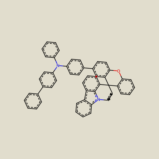 c1ccc(-c2ccc(N(c3ccccc3)c3ccc(-c4ccc5c(c4)C4(c6ccccc6O5)c5ccccc5-n5c6ccccc6c6cccc4c65)cc3)cc2)cc1